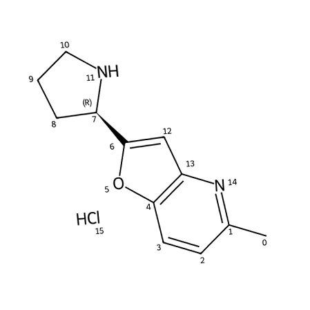 Cc1ccc2oc([C@H]3CCCN3)cc2n1.Cl